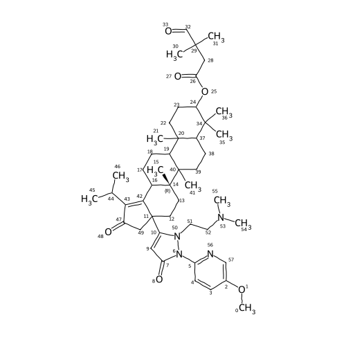 COc1ccc(-n2c(=O)cc(C34CC[C@]5(C)C(CCC6C7(C)CCC(OC(=O)CC(C)(C)C=O)C(C)(C)C7CCC65C)C3=C(C(C)C)C(=O)C4)n2CCN(C)C)nc1